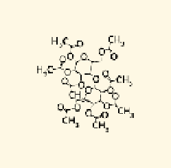 CC(=O)OCC1O[C@H](O[C@@H]2C(COC(C)=O)O[C@@H](OC(C)=O)C(OC(C)=O)C2OC(C)=O)C(OC(C)=O)C(OC(C)=O)[C@@H]1OC(C)=O